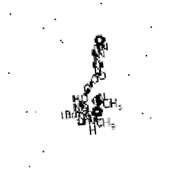 Cc1ncoc1-c1ccc([C@H](C)NC(=O)[C@@H]2CCCN2C(=O)C(NC(=O)COCCOCCOCC(=O)N2CCN(c3ccn4c(n3)nc3ccccc34)CC2)C(C)(C)C)cc1